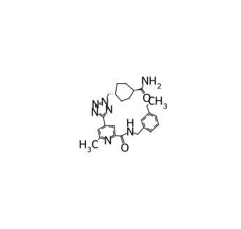 CCc1cccc(CNC(=O)c2cc(-c3nnn(C[C@H]4CC[C@H](C(N)=O)CC4)n3)cc(C)n2)c1